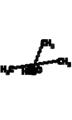 CCCCCCCCCCc1c(CCCCCCCCCC)c(S(=O)(=O)O)c2ccccc2c1CCCCCCCCCC